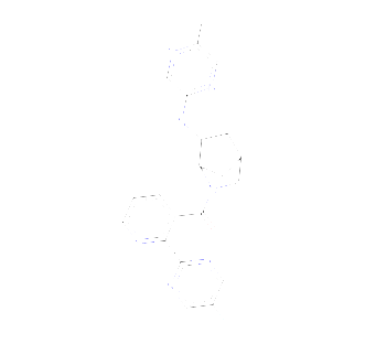 Cc1cnc(NC2CC3CC2N(C(=O)c2cccnc2-c2ncc(F)cn2)C3)cn1